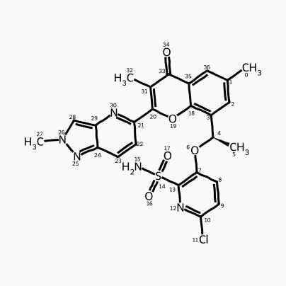 Cc1cc([C@@H](C)Oc2ccc(Cl)nc2S(N)(=O)=O)c2oc(-c3ccc4nn(C)cc4n3)c(C)c(=O)c2c1